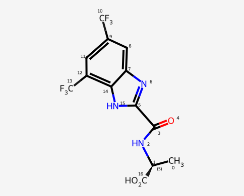 C[C@H](NC(=O)c1nc2cc(C(F)(F)F)cc(C(F)(F)F)c2[nH]1)C(=O)O